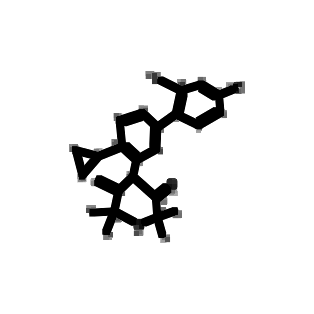 C=C1C(c2cc(-c3ccc(Cl)cc3F)ccc2C2CC2)C(=O)C(C)(C)OC1(C)C